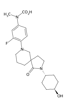 CN(C(=O)O)c1ccc(N2CCCC3(CCN([C@H]4CC[C@H](O)CC4)C3=O)C2)c(F)c1